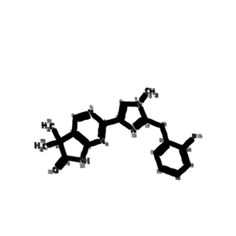 Cn1cc(-c2ncc3c(n2)NC(=O)C3(C)C)nc1Cc1ccccc1F